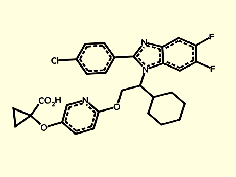 O=C(O)C1(Oc2ccc(OCC(C3CCCCC3)n3c(-c4ccc(Cl)cc4)nc4cc(F)c(F)cc43)nc2)CC1